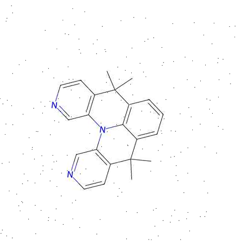 CC1(C)c2ccncc2N2c3cnccc3C(C)(C)c3cccc1c32